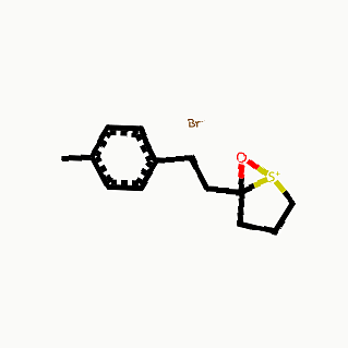 Cc1ccc(CCC23CCC[S+]2O3)cc1.[Br-]